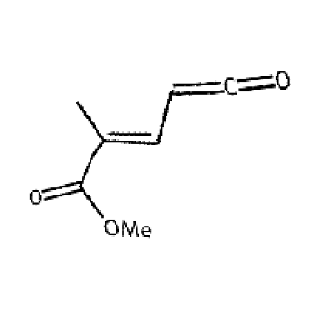 COC(=O)C(C)=CC=C=O